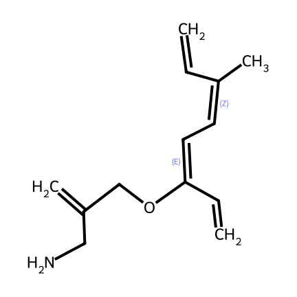 C=C/C(C)=C\C=C(/C=C)OCC(=C)CN